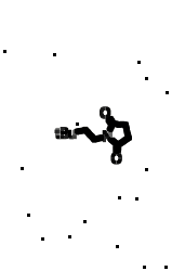 CC(C)(C)CCN1C(=O)CCC1=O